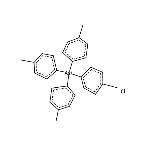 Cc1ccc([As+](c2ccc(C)cc2)(c2ccc(C)cc2)c2ccc(C)cc2)cc1.[Cl-]